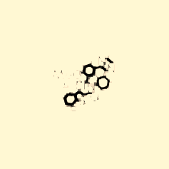 COc1ccc(-c2cnccn2)cc1CN(C(=O)c1sc2c(F)ccc(F)c2c1Cl)C1CCCCC1